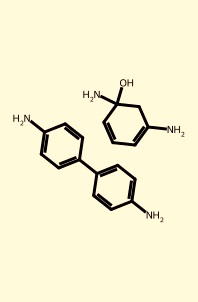 NC1=CC=CC(N)(O)C1.Nc1ccc(-c2ccc(N)cc2)cc1